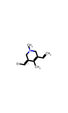 C=CC1=C(C)/C(=C/CC)CN(C)C1